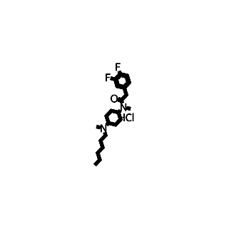 CCCCCCN(C)C1CCC(N(C)C(=O)Cc2ccc(F)c(F)c2)CC1.Cl